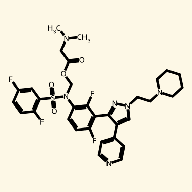 CN(C)CC(=O)OCN(c1ccc(F)c(-c2nn(CCN3CCCCC3)cc2-c2ccncc2)c1F)S(=O)(=O)c1cc(F)ccc1F